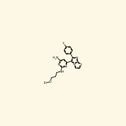 CCOCCCNc1nc(N)cc(-c2c(-c3ccc(F)cc3)nc3sccn23)n1